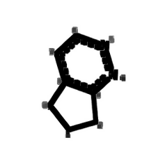 [CH]1CCc2nnccc21